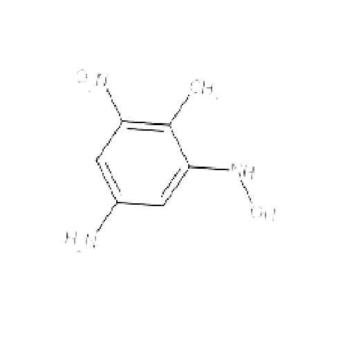 Cc1c(NO)cc(N)cc1[N+](=O)[O-]